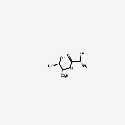 CC[C@H](C)[C@H](N)C(=O)N[C@H](C(=O)O)[C@@H](C)O